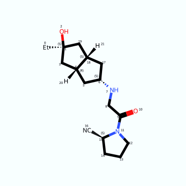 CC[C@@]1(O)C[C@H]2C[C@@H](NCC(=O)N3CCC[C@H]3C#N)C[C@H]2C1